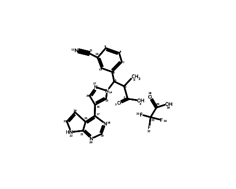 CC(C(=O)O)C(c1cccc(C#N)c1)n1cc(-c2ncnc3[nH]ccc23)cn1.O=C(O)C(F)(F)F